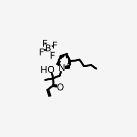 C=CC(=O)C(C)(O)C[n+]1cccc(CCCC)c1.F[B-](F)(F)F